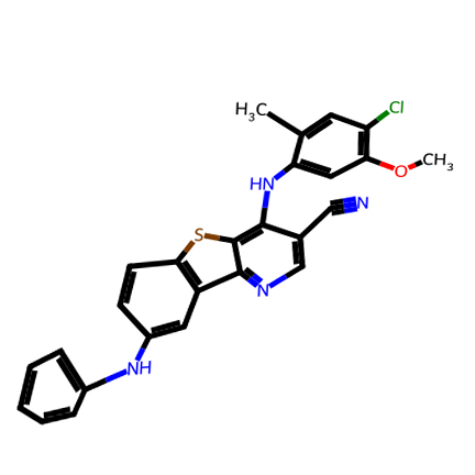 COc1cc(Nc2c(C#N)cnc3c2sc2ccc(Nc4ccccc4)cc23)c(C)cc1Cl